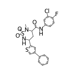 CN1C(C(=O)Nc2ccc(F)c(Cl)c2)CC(c2cc(-c3ccccc3)cs2)NS1(=O)=O